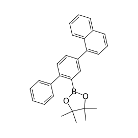 CC1(C)OB(c2cc(-c3cccc4ccccc34)ccc2-c2ccccc2)OC1(C)C